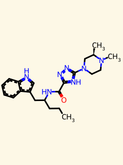 CCCC(Cc1c[nH]c2ccccc12)NC(=O)c1nnc(N2CCN(C)[C@H](C)C2)[nH]1